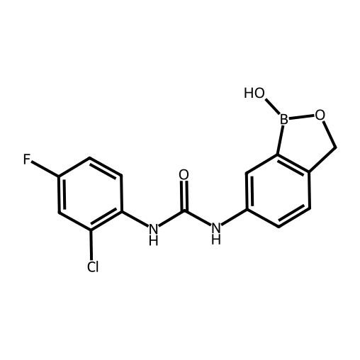 O=C(Nc1ccc2c(c1)B(O)OC2)Nc1ccc(F)cc1Cl